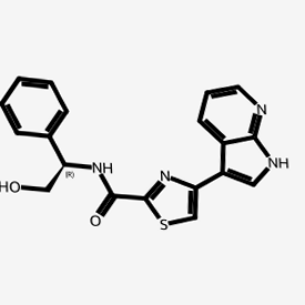 O=C(N[C@@H](CO)c1ccccc1)c1nc(-c2c[nH]c3ncccc23)cs1